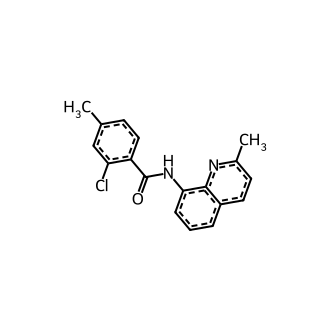 Cc1ccc(C(=O)Nc2cccc3ccc(C)nc23)c(Cl)c1